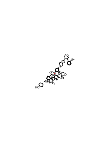 CC(C)c1ccccc1[C@@H]1COCCN1C1CC2(CCN(c3ccc(S(=O)(=O)NC(=O)c4ccc(NC[C@H]5CC[C@](C)(O)CC5)c([N+](=O)[O-])c4)c(N4c5cc6cc[nH]c6nc5O[C@@H]5COCC[C@H]54)c3)CC2)C1